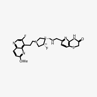 COc1ccc2ncc(F)c(CCN3C[C@H](CNCc4ccc5c(n4)NC(=O)CS5)[C@H](F)C3)c2n1